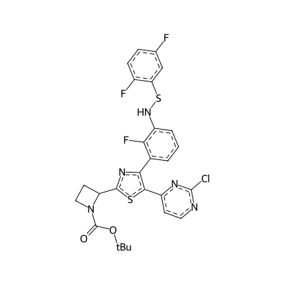 CC(C)(C)OC(=O)N1CCC1c1nc(-c2cccc(NSc3cc(F)ccc3F)c2F)c(-c2ccnc(Cl)n2)s1